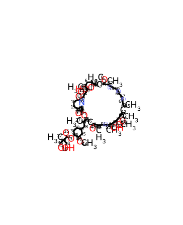 CO[C@H]1C[C@@H]2CC[C@@H](C)[C@@](O)(O2)C(=O)C(=O)N2CCCC[C@H]2C(=O)O[C@H]([C@H](C)CC2CC[C@@H](OC(=O)C(C)(CO)CO)[C@H](OC)C2)CC(=O)[C@H](C)/C=C(\C)[C@@H](O)[C@@H](OC)C(=O)[C@H](C)C[C@H](C)/C=C/C=C/C=C/1C